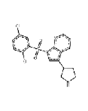 O=S(=O)(c1cc(Cl)ccc1Cl)n1cc(C2=CCNC2)c2cccnc21